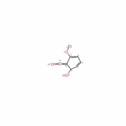 CCOC1=CC=CC(O)C1=C=O